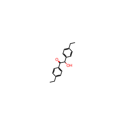 CCc1ccc(C(=O)C(O)c2ccc(CC)cc2)cc1